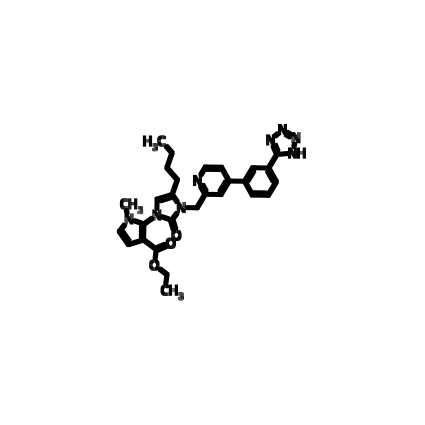 CCCCc1cn(-c2c(C(=O)OCC)ccn2C)c(=O)n1Cc1cc(-c2cccc(-c3nnn[nH]3)c2)ccn1